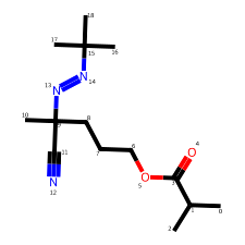 CC(C)C(=O)OCCCC(C)(C#N)/N=N/C(C)(C)C